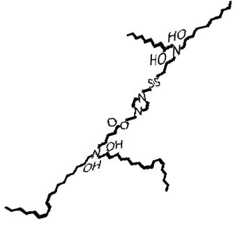 CCCCC/C=C\C/C=C\CCCCCCC(O)CN(CCCCC(=O)OCCN1CCN(CCSSCCCCN(CC(O)CCCCCCCC)CC(O)CCCCCCCC)CC1)CC(O)CCCCCC/C=C\C/C=C\CCCCC